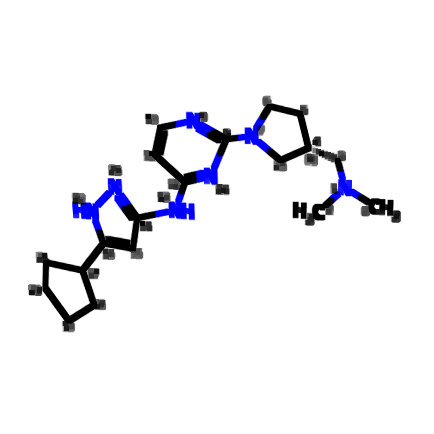 CN(C)C[C@H]1CCN(c2nccc(Nc3cc(C4CCCC4)[nH]n3)n2)C1